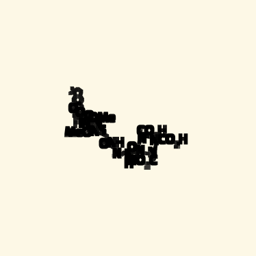 COc1nc(SCCC(=O)NCCN(C)CCNC(=O)CN2CCN(CC(=O)O)CCN(CC(=O)O)CCN(CC(=O)O)CC2)nc(OC)c1NC(=O)c1ccc(Oc2cc3c(cc2C)CCC3(C)C)o1